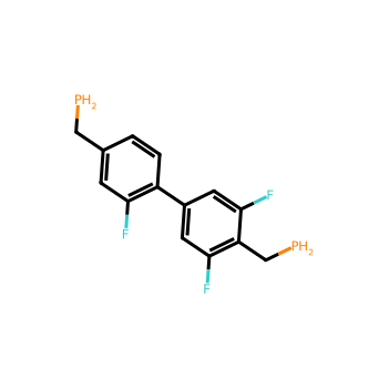 Fc1cc(CP)ccc1-c1cc(F)c(CP)c(F)c1